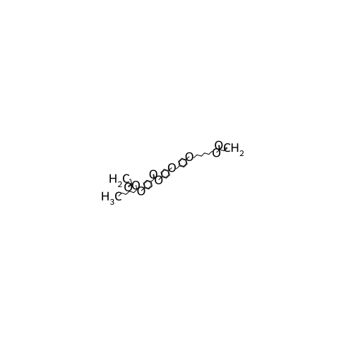 C=CC(=O)OCCCCCCOc1ccc(COc2ccc(OC(=O)c3ccc(OC(CCCCC)OC(=O)C=C)cc3)cc2)cc1